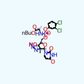 CCCCOC(=O)[C@H](C)NP(=O)(OC[C@H]1O[C@@H](n2ccc(=O)[nH]c2=O)[C@](C)(N=[N+]=[N-])[C@@H]1O)Oc1ccc(Cl)c(Cl)c1